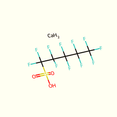 O=S(=O)(O)C(F)(F)C(F)(F)C(F)(F)C(F)(F)C(F)(F)F.[CaH2]